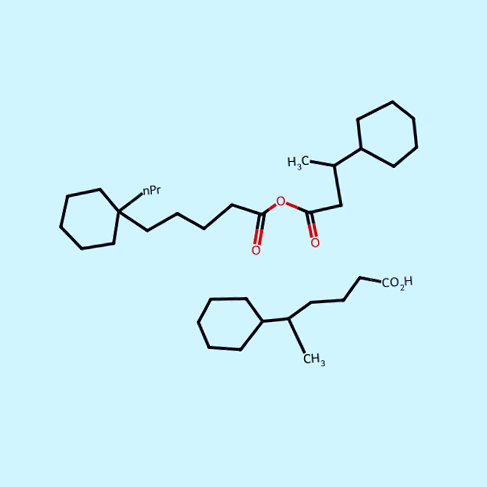 CC(CCCC(=O)O)C1CCCCC1.CCCC1(CCCCC(=O)OC(=O)CC(C)C2CCCCC2)CCCCC1